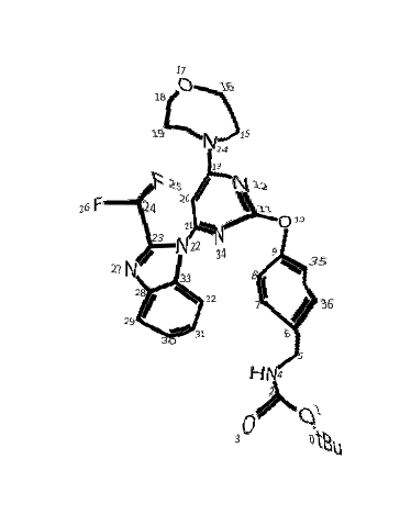 CC(C)(C)OC(=O)NCc1ccc(Oc2nc(N3CCOCC3)cc(-n3c(C(F)F)nc4ccccc43)n2)cc1